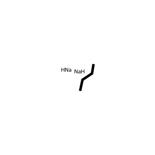 CCCC.[NaH].[NaH]